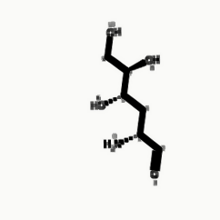 N[C@@H](C=O)C[C@H](O)[C@H](O)CO